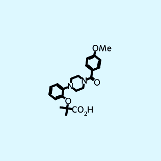 COc1ccc(C(=O)N2CCN(c3ccccc3OC(C)(C)C(=O)O)CC2)cc1